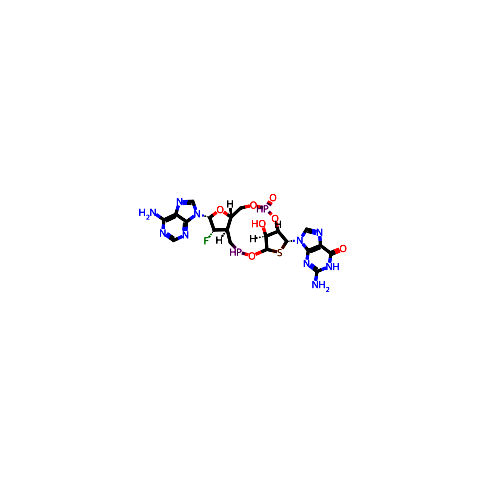 Nc1nc2c(ncn2[C@@H]2SC3OPC[C@H]4[C@H](F)[C@H](n5cnc6c(N)ncnc65)O[C@@H]4CO[PH](=O)O[C@@H]2[C@@H]3O)c(=O)[nH]1